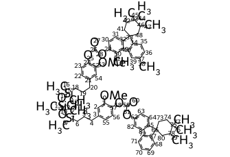 COc1cc(CCC[Si](C)(C)O[Si](C)(C)O[Si](C)(C)CCCc2ccc(OC(=O)Oc3ccc(C4(c5ccc(C)cc5)CCC(C)(C)C(C)C4)cc3C)c(OC)c2)ccc1OC(=O)Oc1ccc(C2(c3ccccc3)CCC(C)(C)C(C)C2)cc1